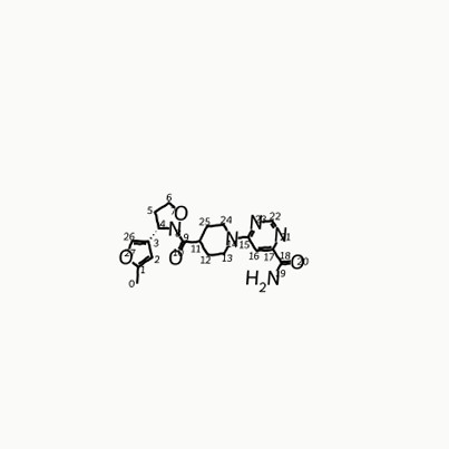 Cc1cc([C@@H]2CCON2C(=O)C2CCN(c3cc(C(N)=O)ncn3)CC2)co1